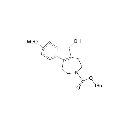 COc1ccc(C2=C(CO)CCN(C(=O)OC(C)(C)C)CC2)cc1